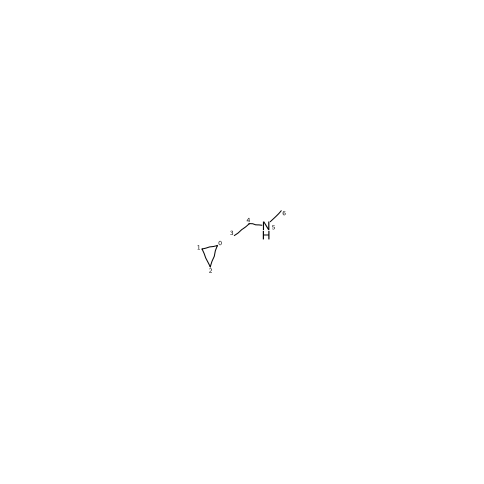 C1CC1.CCNC